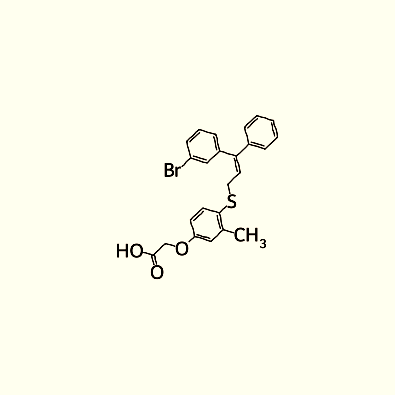 Cc1cc(OCC(=O)O)ccc1SC/C=C(/c1ccccc1)c1cccc(Br)c1